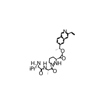 C=Cc1cc2cc([C@@H](C)OC3OC3[C@@H]3CCCN(C(=O)[C@H](C)NC(=O)[C@@H](N)C(C)C)N3)ccc2cn1